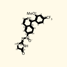 COc1cc(C(F)(F)F)ccc1-c1nccc2cc([S+]([O-])/N=C3\NC(=O)CS3)ccc12